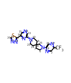 FC(F)(F)c1cnc(N2CCC3(CCN(c4cncc(-c5nncs5)n4)CC3)C2)cn1